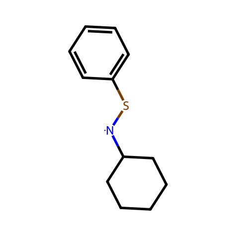 c1ccc(S[N]C2CCCCC2)cc1